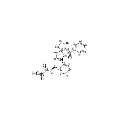 O=C(C=Cc1ccccc1N1CCC2(CCCN2C(=O)c2ccccc2)C1)NO